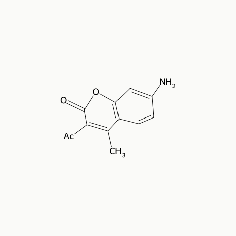 CC(=O)c1c(C)c2ccc(N)cc2oc1=O